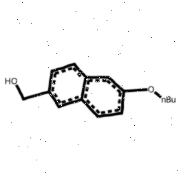 CCCCOc1ccc2cc(CO)ccc2c1